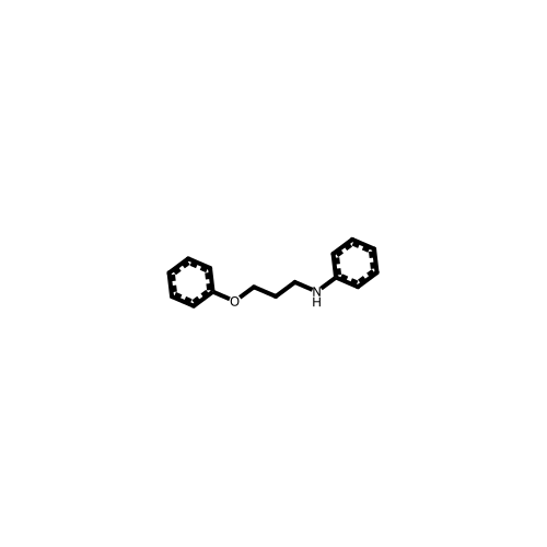 c1ccc(NCCCOc2ccccc2)cc1